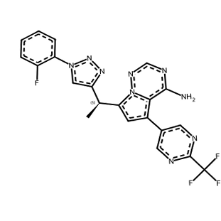 C[C@@H](c1cn(-c2ccccc2F)nn1)c1cc(-c2cnc(C(F)(F)F)nc2)c2c(N)ncnn12